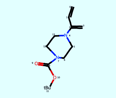 C=CC(=C)N1CCN(C(=O)OC(C)(C)C)CC1